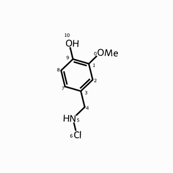 COc1cc(CNCl)ccc1O